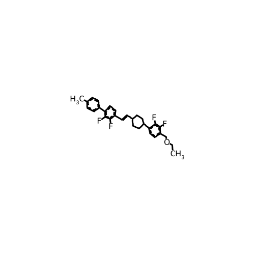 CCOCc1ccc(C2CCC(/C=C/c3ccc(-c4ccc(C)cc4)c(F)c3F)CC2)c(F)c1F